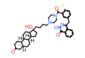 C[C@@]12CCC(=O)C[C@H]1CC[C@H]1[C@H]2CC[C@]2(C)[C@@H]1CC[C@]2(O)CCCCN1CCN(C(=O)c2cc(Cc3n[nH]c(=O)c4ccccc34)ccc2F)CC1